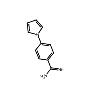 N=C(N)c1ccc(-n2cccc2)cc1